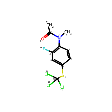 CC(=O)N(C)c1ccc(SC(Cl)(Cl)Cl)cc1F